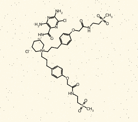 CS(=O)(=O)CCNC(=O)COc1ccc(CCC[N+]2(CCCc3ccc(OCC(=O)NCCS(C)(=O)=O)cc3)CCC[C@H](NC(=O)c3nc(Cl)c(N)nc3N)C2)cc1.[Cl-]